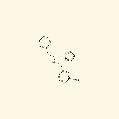 O=[N+]([O-])c1cccc([C@H](NCCc2ccccc2)c2cccs2)c1